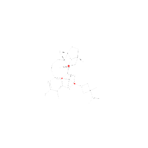 CN(C)C1(C)CN(c2nc3c4c(nc(Cl)c(F)c4n2)OCC[C@@H]2[C@@H]4CC[C@H](CN32)N4C(=O)OC(C)(C)C)C1